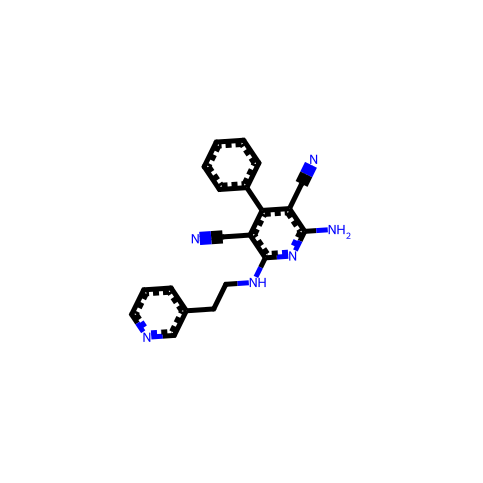 N#Cc1c(N)nc(NCCc2cccnc2)c(C#N)c1-c1ccccc1